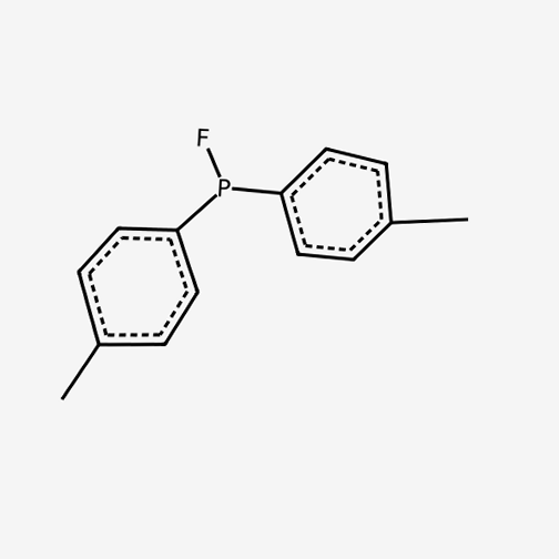 Cc1ccc(P(F)c2ccc(C)cc2)cc1